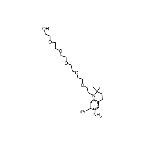 CC(C)c1cc2c(cc1N)CCC(C)(C)N2CCOCCOCCOCCOCCOCCO